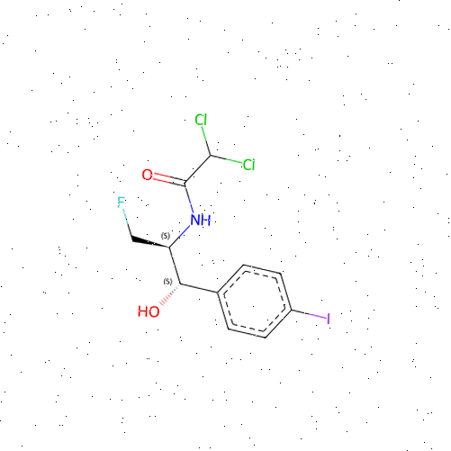 O=C(N[C@H](CF)[C@@H](O)c1ccc(I)cc1)C(Cl)Cl